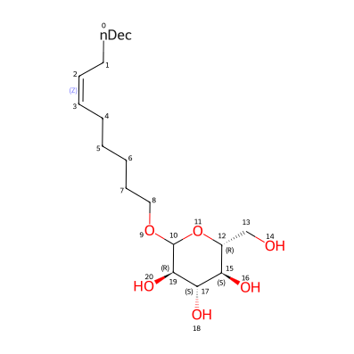 CCCCCCCCCCC/C=C\CCCCCOC1O[C@H](CO)[C@@H](O)[C@H](O)[C@H]1O